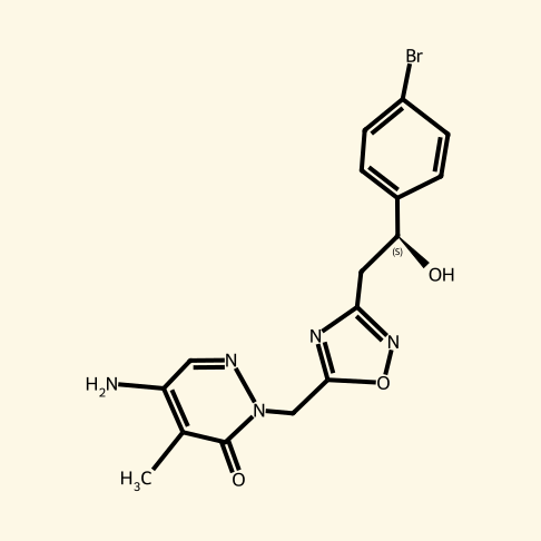 Cc1c(N)cnn(Cc2nc(C[C@H](O)c3ccc(Br)cc3)no2)c1=O